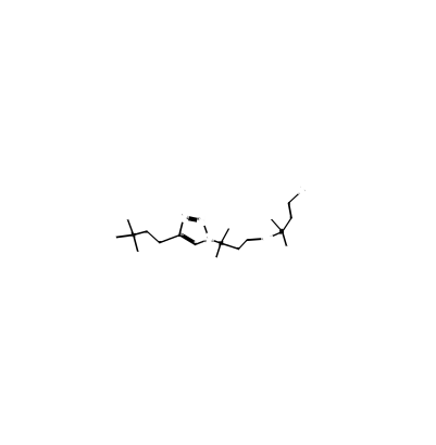 CC(C)(C)CCc1cn(C(C)(C)CCOC(C)(C)CCN)nn1